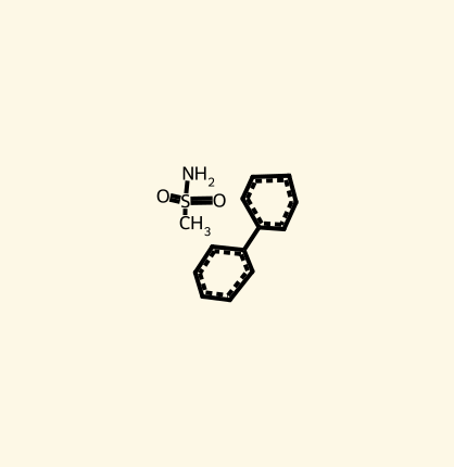 CS(N)(=O)=O.c1ccc(-c2ccccc2)cc1